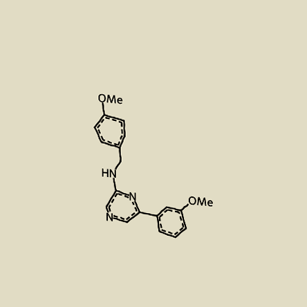 COc1ccc(CNc2cncc(-c3cccc(OC)c3)n2)cc1